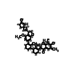 COc1nc(-c2cccc(-c3cccc(NC(=O)c4cn(C)c(=O)n(C)c4=O)c3C)c2C)cc2c1[C@@H](N1CC3(CCC(=O)N3)C1)CO2